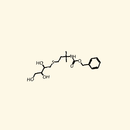 CC(C)(CCSCC(O)C(O)CO)NC(=O)OCc1ccccc1